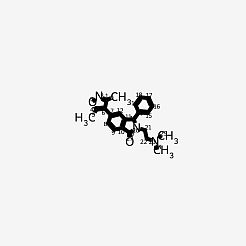 Cc1noc(C)c1-c1ccc2c(c1)C(c1ccccc1)N(CCN(C)C)C2=O